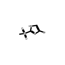 CS(=O)(=O)c1nc(Br)c[nH]1